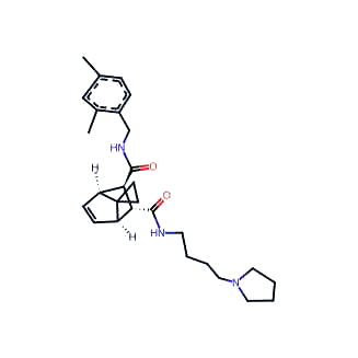 Cc1ccc(CNC(=O)[C@H]2[C@H](C(=O)NCCCCN3CCCC3)[C@H]3C=C[C@@H]2C32CC2)c(C)c1